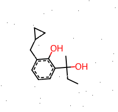 CCC(C)(O)c1cccc(CC2CC2)c1O